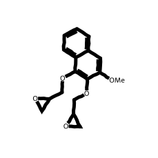 COc1cc2ccccc2c(OCC2CO2)c1OCC1CO1